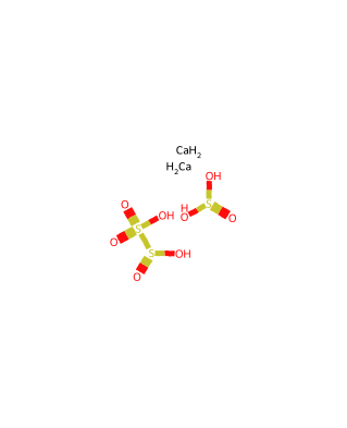 O=S(O)O.O=S(O)S(=O)(=O)O.[CaH2].[CaH2]